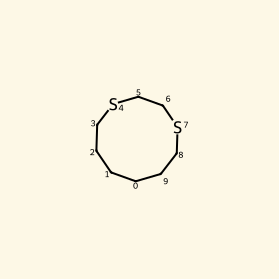 C1CCCSCCSCC1